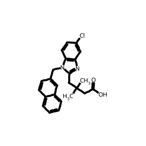 CC(C)(CC(=O)O)Cc1nc2cc(Cl)ccc2n1Cc1ccc2ccccc2c1